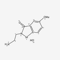 COc1ccc2[se]n(CCN)c(=O)c2c1.Cl